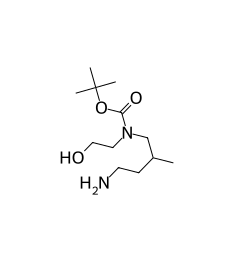 CC(CCN)CN(CCO)C(=O)OC(C)(C)C